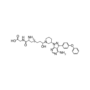 Nc1ncnc2c1c(-c1ccc(Oc3ccccc3)cc1)nn2C1CCCN(C(O)CCSCC(N)C(=O)NCC(=O)O)C1